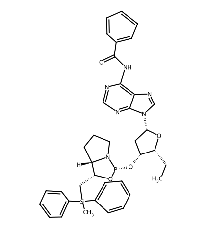 CC[C@H]1O[C@@H](n2cnc3c(NC(=O)c4ccccc4)ncnc32)C[C@H]1O[P@]1O[C@H](C[Si](C)(c2ccccc2)c2ccccc2)[C@@H]2CCCN21